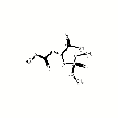 COC(=O)C[C@@H](SP(=S)(OC)OC)C(=O)O